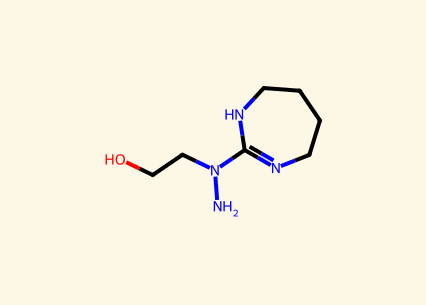 NN(CCO)C1=NCCCCN1